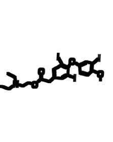 CCN(CC)CCOC(=O)Cc1cc(I)c(Oc2ccc(OC)c(I)c2)c(I)c1